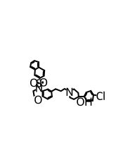 O=S(=O)(c1ccc2ccccc2c1)N1CCOc2ccc(CCCN3CCC(O)(c4ccc(Cl)cc4)CC3)cc21